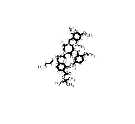 CCCC[C@H](NC(=O)N1CC(=O)N(Cc2c(OC)cc(OC)cc2OC)C[C@H](Cc2cc(Cl)ccc2OC)C1=O)c1ccc(C(=O)OC(C)(C)C)c(N)c1